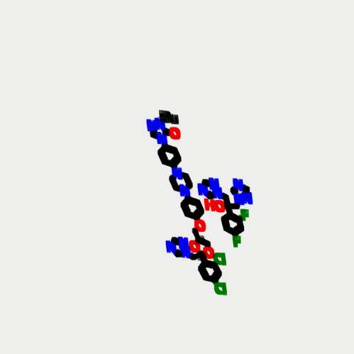 CCC(C)n1ncn(-c2ccc(N3CCN(c4ccc(OC[C@H]5CO[C@](Cn6cncn6)(c6ccc(Cl)cc6Cl)O5)cc4)CC3)cc2)c1=O.OC(Cn1cncn1)(Cn1cncn1)c1ccc(F)cc1F